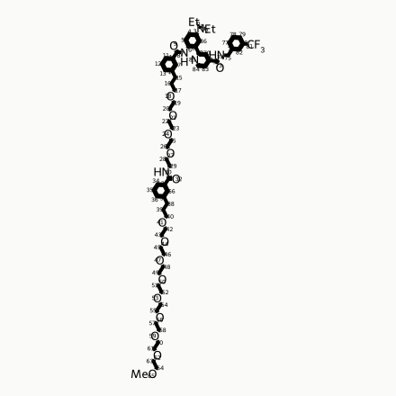 CCN(CC)c1ccc(NC(=O)c2cccc(CCCOCCOCCOCCOCCNC(=O)c3cccc(CCCOCCOCCOCCOCCOCCOCCOCCOCCOC)c3)c2)c(-c2cc(C(=O)NCc3cccc(C(F)(F)F)c3)ccn2)c1